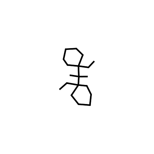 CCC1(C(C)(C)C2(CC)CCCCC2)CCCCC1